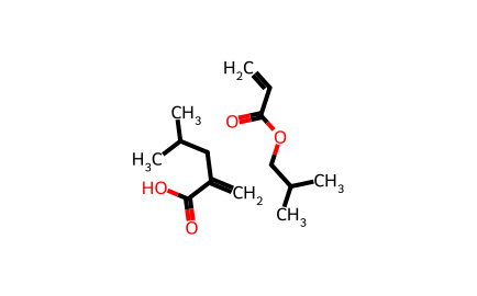 C=C(CC(C)C)C(=O)O.C=CC(=O)OCC(C)C